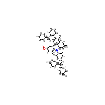 COc1ccc(N(c2ccc(C=C(c3ccc(C)cc3)c3ccc(C)cc3)cc2)c2cc(C)cc3c(C)cc(C=C(c4ccccc4)c4ccccc4)cc23)c(C)c1